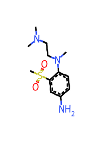 CN(C)CCN(C)c1ccc(N)cc1S(C)(=O)=O